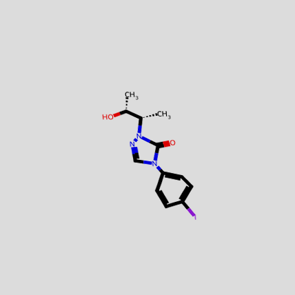 C[C@@H](O)[C@H](C)n1ncn(-c2ccc(I)cc2)c1=O